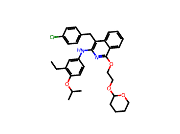 CCc1cc(Nc2nc(OCCOC3CCCCO3)c3ccccc3c2Cc2ccc(Cl)cc2)ccc1OC(C)C